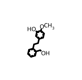 COc1ccc(CCc2ccccc2CO)cc1O